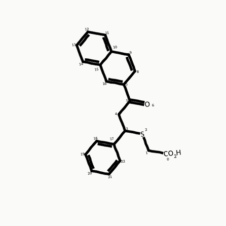 O=C(O)CSC(CC(=O)c1ccc2ccccc2c1)c1ccccc1